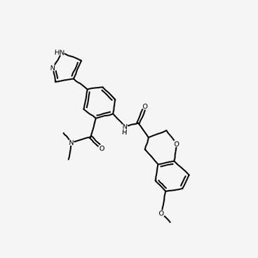 COc1ccc2c(c1)CC(C(=O)Nc1ccc(-c3cn[nH]c3)cc1C(=O)N(C)C)CO2